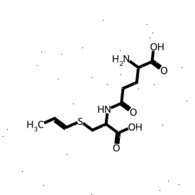 CC=CSCC(NC(=O)CCC(N)C(=O)O)C(=O)O